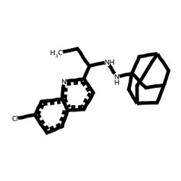 CCC(NNC12CC3CC(CC(C3)C1)C2)c1ccc2ccc(Cl)cc2n1